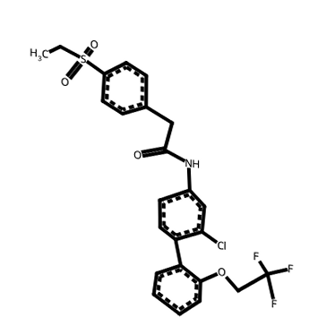 CCS(=O)(=O)c1ccc(CC(=O)Nc2ccc(-c3ccccc3OCC(F)(F)F)c(Cl)c2)cc1